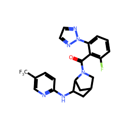 O=C(c1c(F)cccc1-n1nccn1)N1CC2CC(Nc3ccc(C(F)(F)F)cn3)C1C2